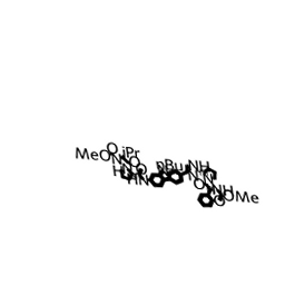 CCCCn1c2cc(NC(=O)[C@@H]3CCCN3C(=O)C(NC(=O)OC)C(C)C)ccc2c2ccc(-c3c[nH]c([C@@H]4CCCN4C(=O)[C@H](NC(=O)OC)c4ccccc4)n3)cc21